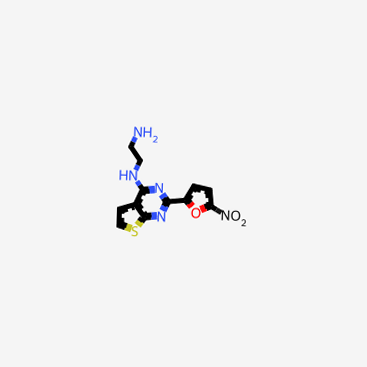 NCCNc1nc(-c2ccc([N+](=O)[O-])o2)nc2sccc12